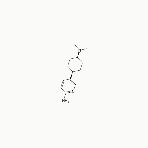 CN(C)[C@H]1CC[C@@H](c2ccc(N)nc2)CC1